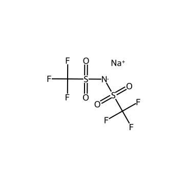 O=S(=O)([N]S(=O)(=O)C(F)(F)F)C(F)(F)F.[Na+]